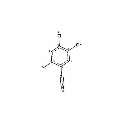 Cc1cc(Cl)c(Cl)cc1C#N